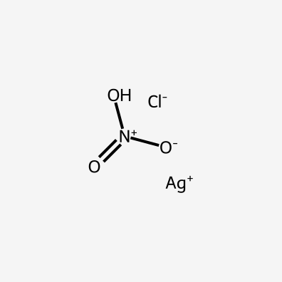 O=[N+]([O-])O.[Ag+].[Cl-]